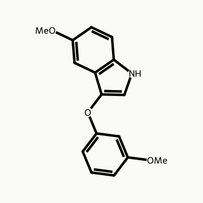 COc1cccc(Oc2c[nH]c3ccc(OC)cc23)c1